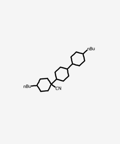 CCCCC1CCC(C2CCC(C3(C#N)CCC(CCCC)CC3)CC2)CC1